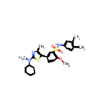 COc1ccc(-c2sc(N(C)C3CCCCC3)nc2C)cc1S(=O)(=O)Nc1ccc(C)c(C)c1